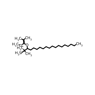 CCCCCCCCCCCCCCCCC(OC(OC)=C(C)C)C(C)(C)[SiH3]